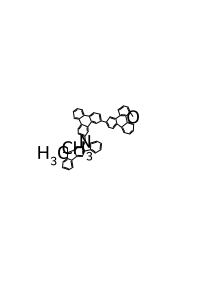 CC1(C)c2ccccc2-c2cc3c4ccccc4n(-c4ccc5c6ccccc6c6ccc(-c7ccc8c(c7)c7cccc9oc%10cccc8c%10c97)cc6c5c4)c3cc21